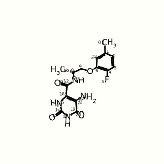 Cc1ccc(F)c(OC[C@@H](C)NC(=O)c2[nH]c(=O)[nH]c(=O)c2N)c1